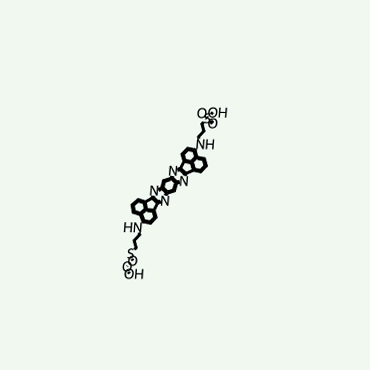 O=S(=O)(O)CCCNc1ccc2c3c(cccc13)-c1nc3cc4nc5c(nc4cc3nc1-2)-c1cccc2c(NCCCSOOO)ccc-5c12